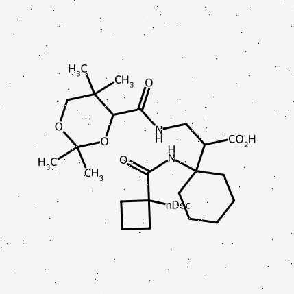 CCCCCCCCCCC1(C(=O)NC2(C(CNC(=O)C3OC(C)(C)OCC3(C)C)C(=O)O)CCCCC2)CCC1